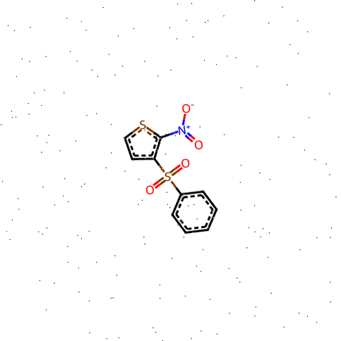 O=[N+]([O-])c1sccc1S(=O)(=O)c1ccccc1